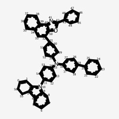 C1=Cc2c(c3ccccc3n2-c2ccc(N(c3ccc(-c4ccccc4)cc3)c3ccc(-c4cc5ccccc5c5nc(-c6ccccc6)oc45)cc3)cc2)CC1